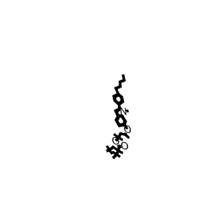 CCCCCc1ccc(-c2cc3ccc(OC(C)CC(C)(C)OC(=O)C(C)(CC(C)(C)C)C(C)(C)C)cc3n2C)cc1